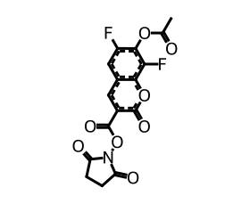 CC(=O)Oc1c(F)cc2cc(C(=O)ON3C(=O)CCC3=O)c(=O)oc2c1F